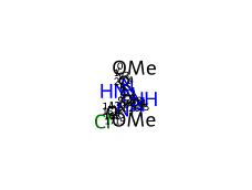 COCc1ccnc(Nc2cc(Nc3cccc(Cl)c3OC)c3c(n2)NN(C)C3)c1